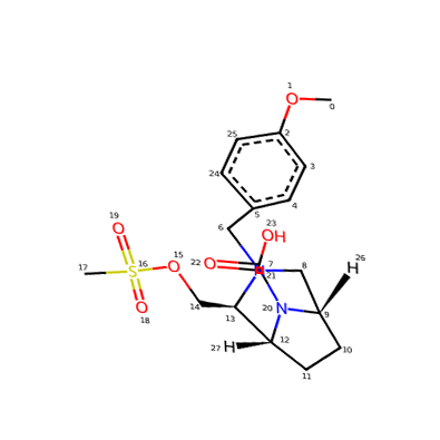 COc1ccc(CN2C[C@@H]3CC[C@H]([C@H]2COS(C)(=O)=O)N3C(=O)O)cc1